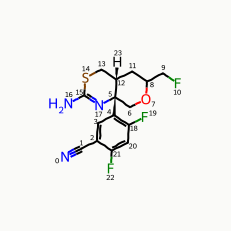 N#Cc1cc([C@]23COC(CF)C[C@H]2CSC(N)=N3)c(F)cc1F